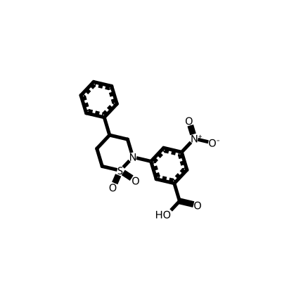 O=C(O)c1cc(N2CC(c3ccccc3)CCS2(=O)=O)cc([N+](=O)[O-])c1